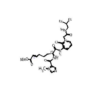 CCC(CC)CNC(=O)Cn1cccc(NC(=O)[C@H](CCC/C=C/C(=O)OC)NC(=O)c2cncn2C)c1=O